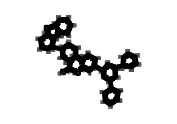 O=c1oc2cc(-c3cc(-c4ccccc4)cc(-c4ccccc4)c3)ccc2c2ccc(-c3cccc4oc5ccccc5c34)cc12